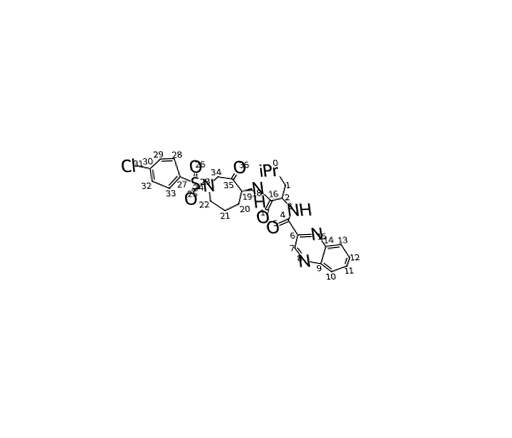 CC(C)CC(NC(=O)c1cnc2ccccc2n1)C(=O)N[C@H]1CCCN(S(=O)(=O)c2ccc(Cl)cc2)CC1=O